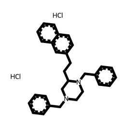 Cl.Cl.c1ccc(CN2CCN(Cc3ccccc3)C(CCc3ccc4ccccc4c3)C2)cc1